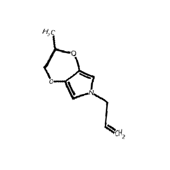 C=CCn1cc2c(c1)OC(C)CO2